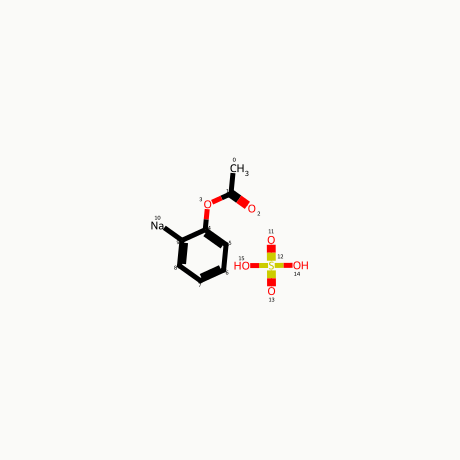 CC(=O)Oc1cccc[c]1[Na].O=S(=O)(O)O